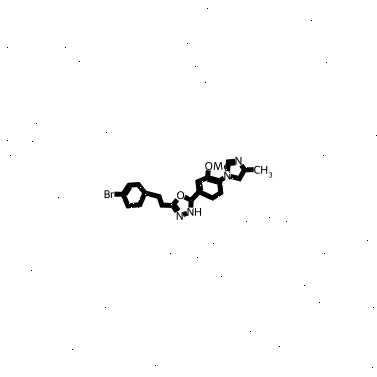 COC1=C(N2C=NC(C)C2)CCC(C2NN=C(CCC3CC=C(Br)CC3)O2)=C1